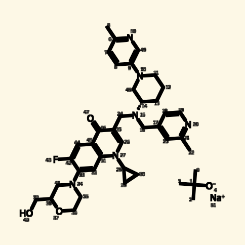 CC(C)(C)[O-].Cc1ccc(N2CCC[C@H](N(Cc3ccnc(C)c3)Cc3cn(C4CC4)c4cc(N5CCOC(CO)C5)c(F)cc4c3=O)C2)cn1.[Na+]